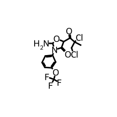 CC(Cl)(CCl)C(=O)C1OC(N)N(c2cccc(OC(F)(F)F)c2)C1=O